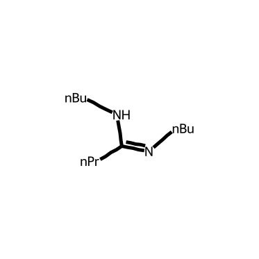 CCCCN=C(CCC)NCCCC